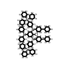 Clc1c(N(c2ccc(-c3ccccc3)cc2)c2ccc([Si](c3ccccc3)(c3ccccc3)c3ccccc3)cc2)cc(N(c2ccccc2)c2ccccc2)cc1N(c1ccc(-c2ccccc2)cc1)c1ccc([Si](c2ccccc2)(c2ccccc2)c2ccccc2)cc1